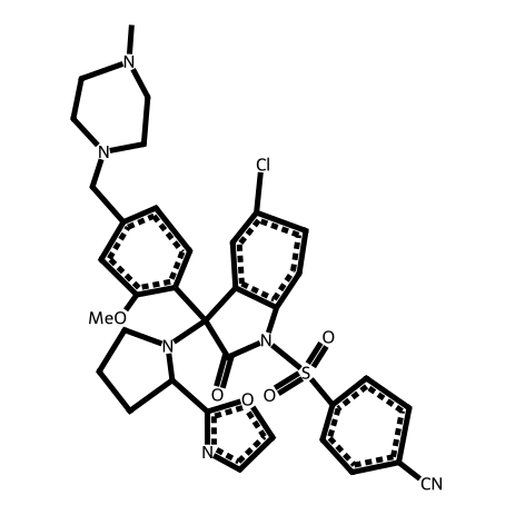 COc1cc(CN2CCN(C)CC2)ccc1C1(N2CCCC2c2ncco2)C(=O)N(S(=O)(=O)c2ccc(C#N)cc2)c2ccc(Cl)cc21